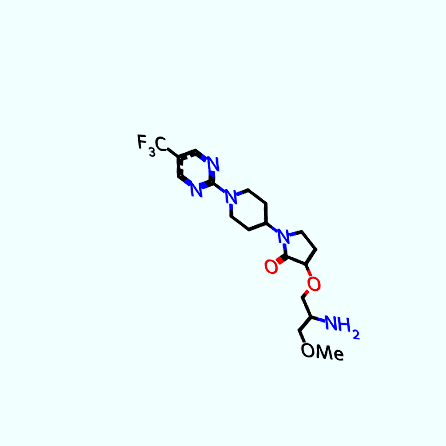 COCC(N)COC1CCN(C2CCN(c3ncc(C(F)(F)F)cn3)CC2)C1=O